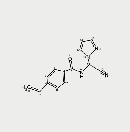 C=Cc1ccc(C(=O)NC(C#N)n2cccn2)cc1